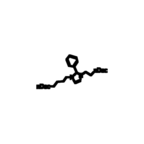 CCCCCCCCCCCCCCN1C=CN(CCCCCCCCCCCC)C1c1ccccc1